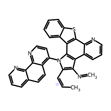 C=Nc1c(/C=C\C)n(-c2ccnc3c2ccc2cccnc23)c2c1c1cccnc1c1sc3ccccc3c12